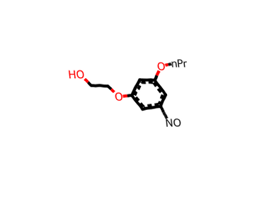 CCCOc1cc(N=O)cc(OCCO)c1